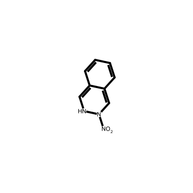 O=[N+]([O-])N1C=c2ccccc2=CN1